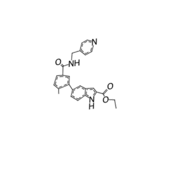 CCOC(=O)c1cc2cc(-c3cc(C(=O)NCc4ccncc4)ccc3C)ccc2[nH]1